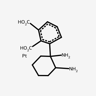 NC1CCCCC1(N)c1cccc(C(=O)O)c1C(=O)O.[Pt]